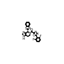 O=C(c1nnc(-c2c(F)cccc2F)o1)N1CCc2[nH]cnc2[C@H]1c1nc2ccccc2s1